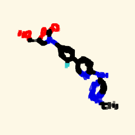 Cn1cc(Nc2ccc(-c3ccc(N4C[C@H](CO)OC4=O)cc3F)cn2)nn1